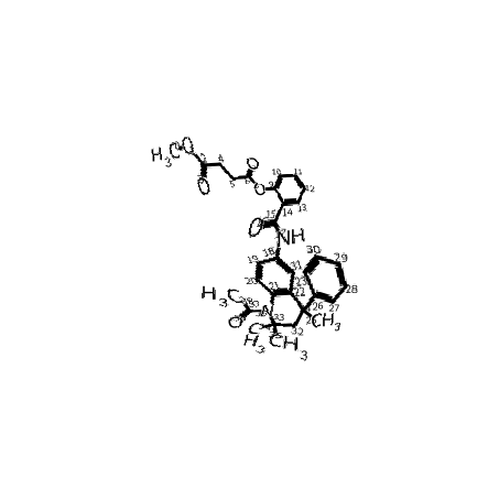 COC(=O)CCC(=O)Oc1ccccc1C(=O)Nc1ccc2c(c1)C(C)(c1ccccc1)CC(C)(C)N2C(C)=O